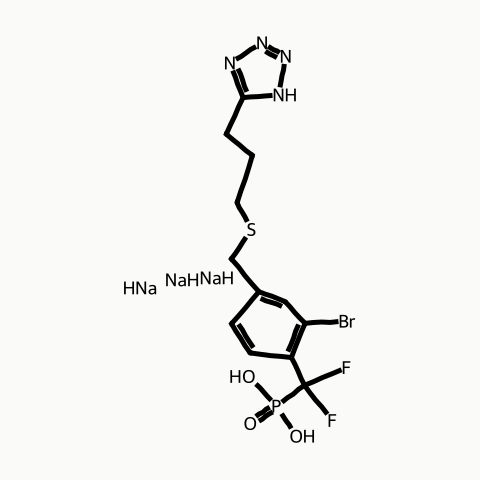 O=P(O)(O)C(F)(F)c1ccc(CSCCCc2nnn[nH]2)cc1Br.[NaH].[NaH].[NaH]